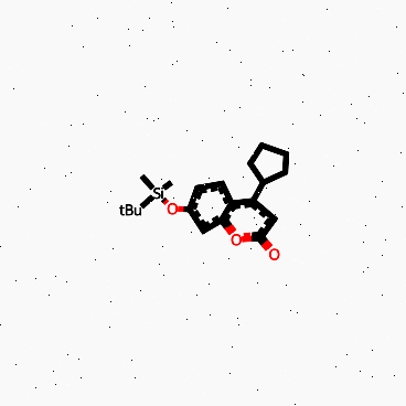 CC(C)(C)[Si](C)(C)Oc1ccc2c(C3CCCC3)cc(=O)oc2c1